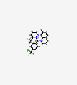 Cc1ccc2c(c1)N([C@@H](c1ccc(C(F)(F)F)cc1)c1ncccc1C(F)(F)F)CCC2